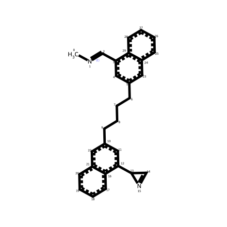 C/N=C/c1cc(CCCCc2cc(C3C=N3)c3ccccc3c2)cc2ccccc12